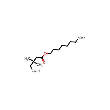 CCCCCCCCCCCCCCCCCOC(=O)CC(C)(C)CC(=O)O